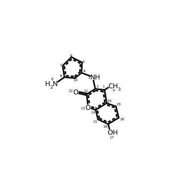 Cc1c(Nc2cccc(N)c2)c(=O)oc2cc(O)ccc12